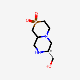 O=S1(=O)CCN2C[C@H](CO)NCC2C1